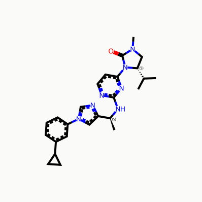 CC(C)[C@H]1CN(C)C(=O)N1c1ccnc(N[C@@H](C)c2cn(-c3cccc(C4CC4)c3)cn2)n1